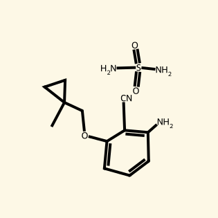 CC1(COc2cccc(N)c2C#N)CC1.NS(N)(=O)=O